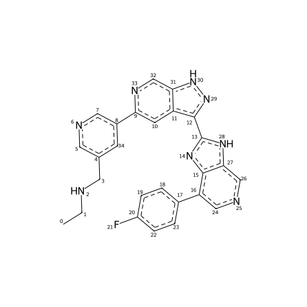 CCNCc1cncc(-c2cc3c(-c4nc5c(-c6ccc(F)cc6)cncc5[nH]4)n[nH]c3cn2)c1